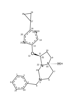 c1ccc(CN2CC[C@@H]3CC[C@H](Oc4cnc(C5CC5)cn4)N3C2)cc1